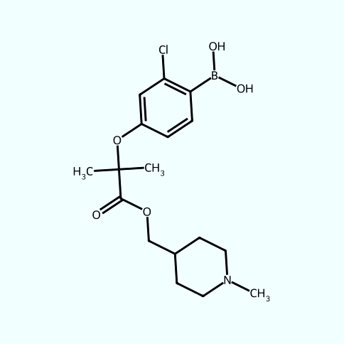 CN1CCC(COC(=O)C(C)(C)Oc2ccc(B(O)O)c(Cl)c2)CC1